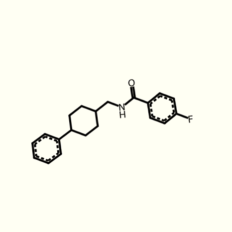 O=C(NCC1CCC(c2ccccc2)CC1)c1ccc(F)cc1